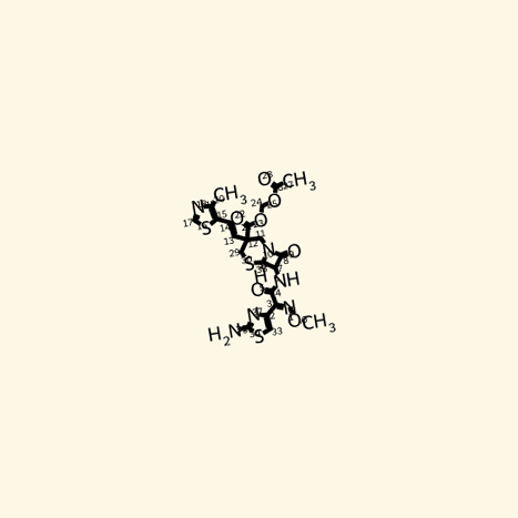 CON=C(C(=O)NC1C(=O)N2CC(C=Cc3scnc3C)(C(=O)OCOC(C)=O)CS[C@H]12)c1csc(N)n1